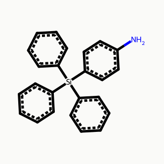 Nc1ccc([Si](c2ccccc2)(c2ccccc2)c2ccccc2)cc1